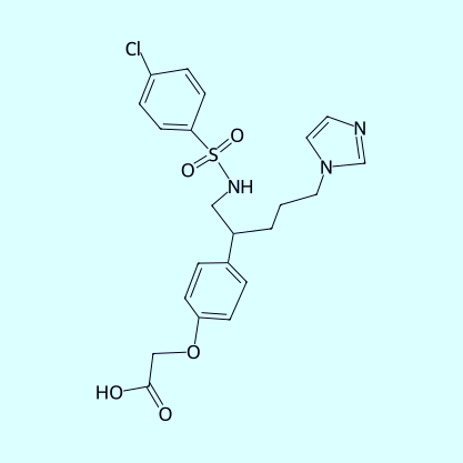 O=C(O)COc1ccc(C(CCCn2ccnc2)CNS(=O)(=O)c2ccc(Cl)cc2)cc1